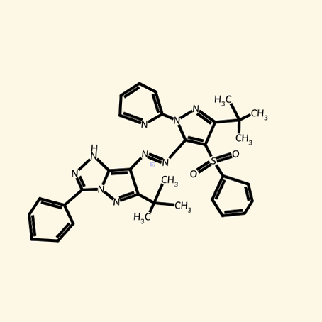 CC(C)(C)c1nn(-c2ccccn2)c(/N=N/c2c(C(C)(C)C)nn3c(-c4ccccc4)n[nH]c23)c1S(=O)(=O)c1ccccc1